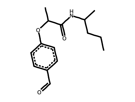 CCCC(C)NC(=O)C(C)Oc1ccc(C=O)cc1